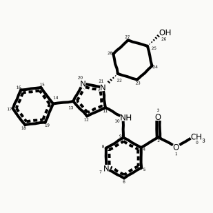 COC(=O)c1ccncc1Nc1cc(-c2ccccc2)nn1[C@H]1CC[C@@H](O)CC1